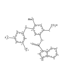 COc1cc(CC(=O)O)c(OC(=O)c2c[nH]c3ccccc23)cc1Oc1cc(C(F)(F)F)cc(C(F)(F)F)c1